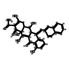 NC(=O)C1=C(O)CC2C(O)C3C(=C(O)C2(O)C1=O)C(=O)c1c(O)cccc1/C3=C\c1ccc2ccccc2c1